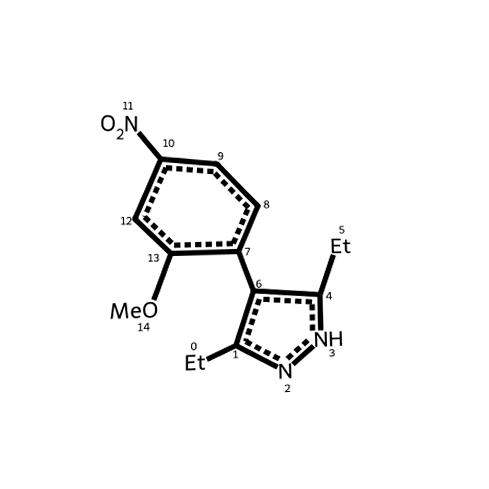 CCc1n[nH]c(CC)c1-c1ccc([N+](=O)[O-])cc1OC